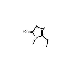 CCC1=NCC(=O)N1C